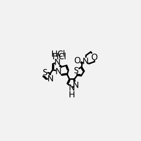 Cl.Cl.O=C(c1ccc(-c2n[nH]cc2-c2ccc3ncc(-c4nccs4)n3c2)s1)N1CCOCC1